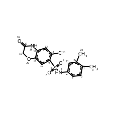 Cc1ccc(NS(=O)(=O)c2cc3c(cc2Cl)NC(=O)CO3)cc1C